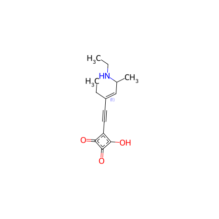 CCNC(C)/C=C(/C#Cc1c(O)c(=O)c1=O)CC